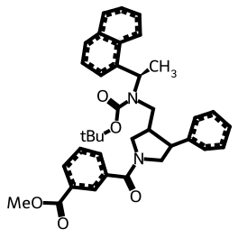 COC(=O)c1cccc(C(=O)N2CC(CN(C(=O)OC(C)(C)C)[C@H](C)c3cccc4ccccc34)C(c3ccccc3)C2)c1